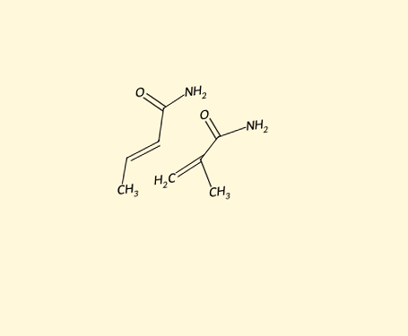 C=C(C)C(N)=O.CC=CC(N)=O